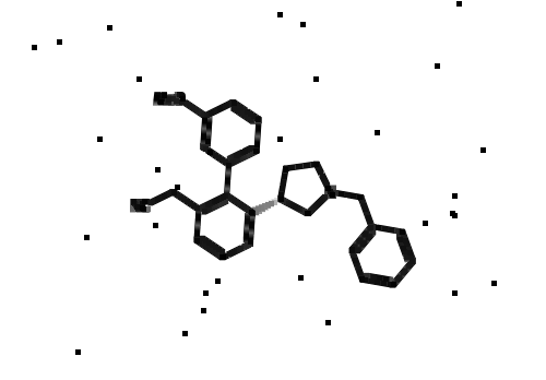 COc1cccc(-c2c(CC#N)cccc2[C@@H]2CCN(Cc3ccccc3)C2)c1